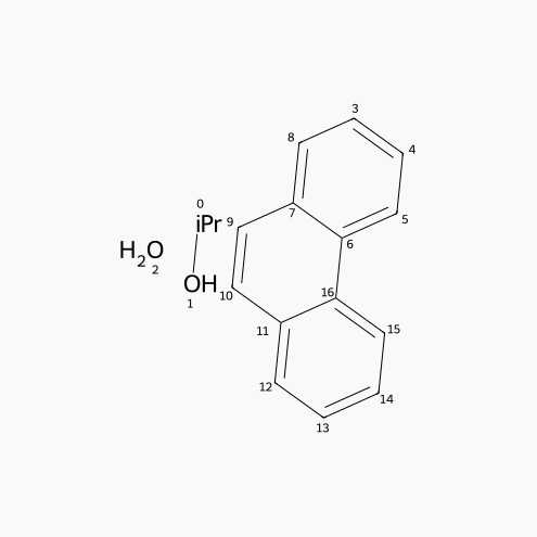 CC(C)O.O.c1ccc2c(c1)ccc1ccccc12